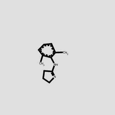 Cc1cccc(C)c1NC1=NCCC1